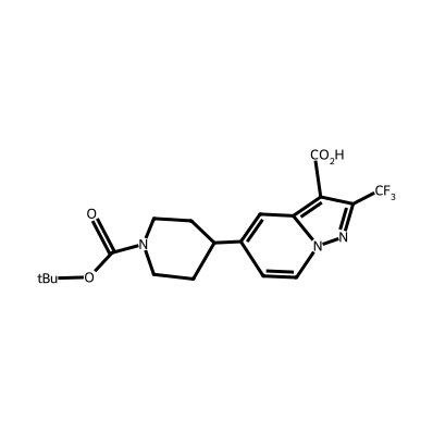 CC(C)(C)OC(=O)N1CCC(c2ccn3nc(C(F)(F)F)c(C(=O)O)c3c2)CC1